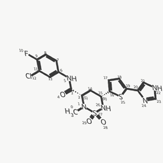 CN1[C@H](C(=O)Nc2ccc(F)c(Cl)c2)C[C@H](c2ccc(-c3c[nH]cn3)s2)NS1(=O)=O